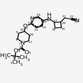 CC(C)(C)OC(=O)N1CCC(Oc2ccc(NC3CCC3CC#N)cn2)CC1